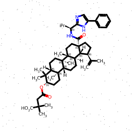 C=C(C)[C@@H]1CC[C@]2(C(=O)N[C@H](c3ncc(-c4ccccc4)[nH]3)C(C)C)CC[C@]3(C)[C@H](CC[C@@H]4[C@@]5(C)CC[C@H](OC(=O)CC(C)(C)C(=O)O)C(C)(C)[C@@H]5CC[C@]43C)[C@@H]12